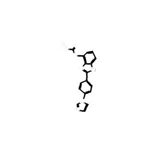 NNC(=O)Oc1cccc2[nH]c(-c3ccc(-n4ccnc4)cc3)nc12